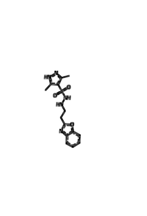 Cc1n[nH]c(C)c1S(=O)(=O)NNCCc1nc2ccccc2o1